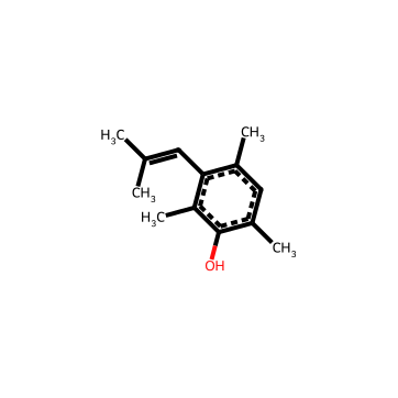 CC(C)=Cc1c(C)cc(C)c(O)c1C